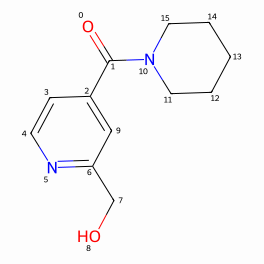 O=C(c1ccnc(CO)c1)N1CCCCC1